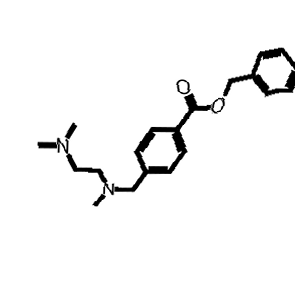 CN(C)CCN(C)Cc1ccc(C(=O)OCc2ccccc2)cc1